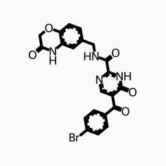 O=C1COc2ccc(CNC(=O)c3ncc(C(=O)c4ccc(Br)cc4)c(=O)[nH]3)cc2N1